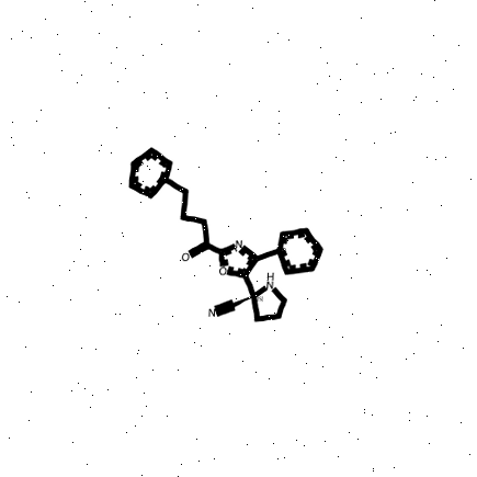 N#C[C@]1(c2oc(C(=O)CCCc3ccccc3)nc2-c2ccccc2)CCCN1